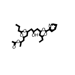 CCCC1OC(CC(O)CC2CC(CC)OC(c3ccccn3)O2)CC(CC(C)OC(C)=O)O1